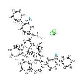 CCC1=CC2=C(C=CC=CC2c2ccc(-c3ccccc3)c(F)c2)[CH]1[Zr+2](=[C](c1ccccc1)c1ccccc1)[CH]1C(CC)=CC2=C1C=CC=CC2c1ccc(-c2ccccc2)c(F)c1.[Cl-].[Cl-]